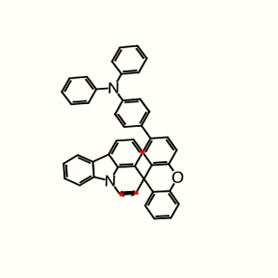 c1ccc(N(c2ccccc2)c2ccc(-c3ccc4c(c3)C3(c5ccccc5O4)c4ccccc4-n4c5ccccc5c5cccc3c54)cc2)cc1